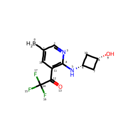 Bc1cnc(N[C@H]2C[C@@H](O)C2)c(C(=O)C(F)(F)F)c1